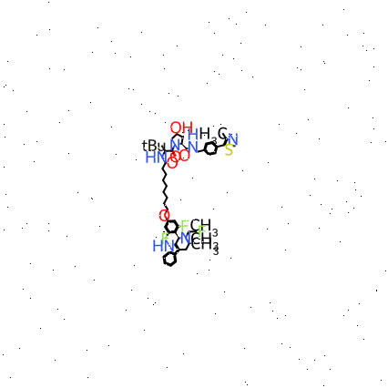 Cc1ncsc1-c1ccc(CNC(=O)[C@@H]2C[C@@H](O)CN2C(=O)C(NC(=O)CCCCCCCCOc2cc(F)c([C@@H]3c4[nH]c5ccccc5c4C[C@@H](C)N3CC(C)(C)F)c(F)c2)C(C)(C)C)cc1